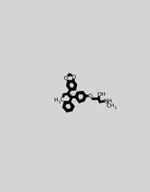 CC/C(=C(\c1ccccc1)c1ccc(OCC(O)CNC)cc1)c1ccc2c(c1)OCO2